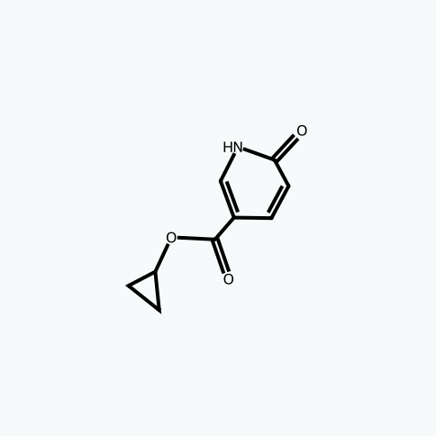 O=C(OC1CC1)c1ccc(=O)[nH]c1